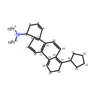 CCCN(CCC)C1CC=Cc2c1ccc1c3c(ccc21)=C(C1CCCC1)CCC=3